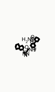 NS(=O)(=O)c1ccccc1-c1ccc(NC(=O)c2nnnn2-c2ccc3ccccc3c2)c(F)c1